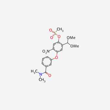 COC(OC)c1cc(Oc2cccc(C(=O)N(C)C)c2)c([N+](=O)[O-])cc1OS(C)(=O)=O